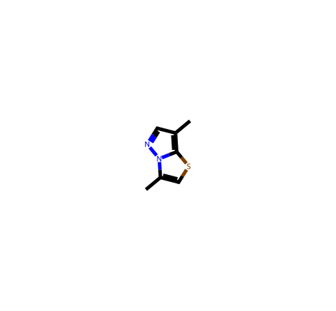 Cc1cnn2c(C)csc12